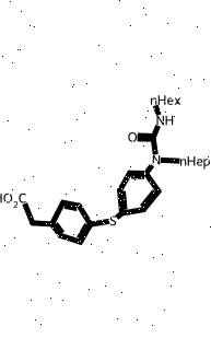 CCCCCCCN(C(=O)NCCCCCC)c1ccc(Sc2ccc(CC(=O)O)cc2)cc1